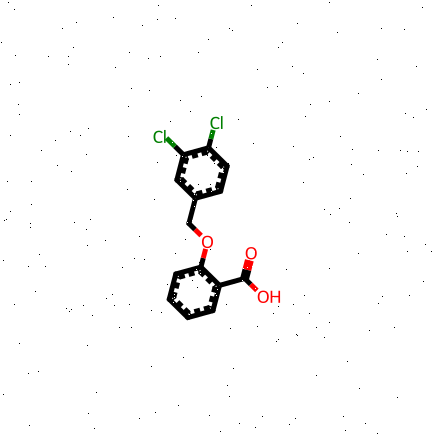 O=C(O)c1ccccc1OCc1ccc(Cl)c(Cl)c1